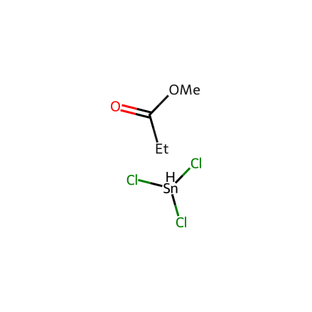 [CH2]CC(=O)OC.[Cl][SnH]([Cl])[Cl]